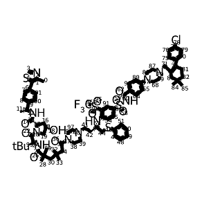 Cc1ncsc1-c1ccc([C@H](C)NC(=O)[C@@H]2C[C@@H](O)CN2C(=O)[C@@H](NC(=O)C(C)(C)CC(C)(C)CC(=O)N2CCN(CC[C@H](CSc3ccccc3)Nc3ccc(S(=O)(=O)NC(=O)c4ccc(N5CCN(CC6=C(c7ccc(Cl)cc7)CCC(C)(C)C6)CC5)cc4)cc3S(=O)(=O)C(F)(F)F)CC2)C(C)(C)C)cc1